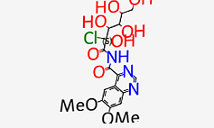 COc1cc2ncnc(C(=O)NC(=O)[C@@](O)(Cl)C(O)C(O)C(O)CO)c2cc1OC